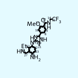 CCc1c(NC2=NC(c3ccc(C(=O)NCC(F)(F)F)c(OC)c3)NN2C)ccc(N)c1C=N